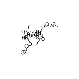 C/C=C/Cc1c(C)n(OC(=O)/C=C\C(=O)On2c(NCCCOc3cccc(CN4CCC[C@@H](C)C4)c3)nc(=O)c(C/C=C/C)c2C)c(NCCCOc2cccc(CN3CCC[C@@H](C)C3)c2)nc1=O